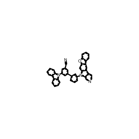 N#Cc1cc(-c2cccc(-n3c4cnccc4c4cc5c(cc43)oc3ccccc35)c2)cc(-n2c3ccccc3c3ccccc32)c1